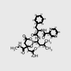 CNC(=O)[C@]1(CC(=O)O)CC(=O)OB(C(CC(C)C)NC(=O)C(Cc2ccccc2)NC(=O)c2cnccn2)O1